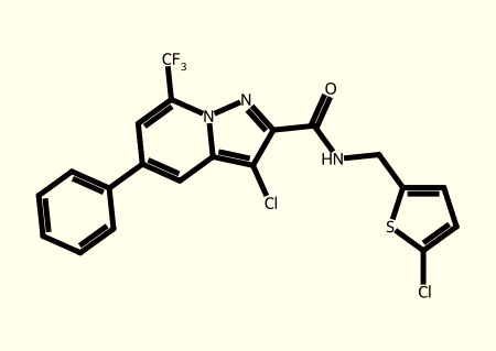 O=C(NCc1ccc(Cl)s1)c1nn2c(C(F)(F)F)cc(-c3ccccc3)cc2c1Cl